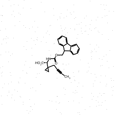 CC#CCC1([C@H](NC(=O)OCC2c3ccccc3-c3ccccc32)C(=O)O)CC1